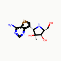 C[C@@]1(O)[C@H](O)[C@@H](CO)N[C@H]1c1csc2c(N)ncnc12